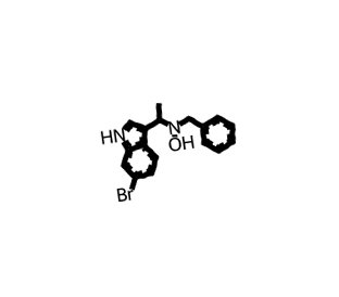 CC(c1c[nH]c2cc(Br)ccc12)N(O)Cc1ccccc1